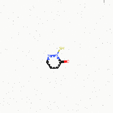 O=c1cccnn1S